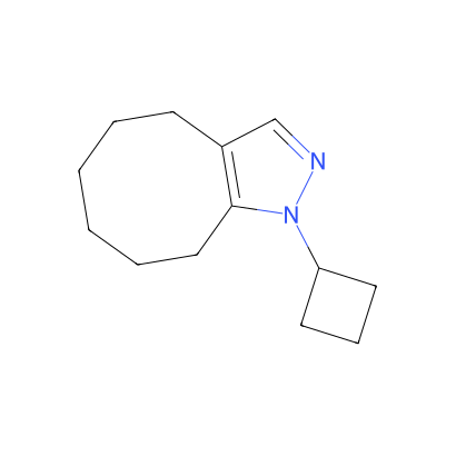 c1nn(C2CCC2)c2c1CCCCCC2